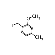 COc1cc(C)ccc1CI